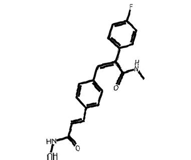 CNC(=O)C(=Cc1ccc(/C=C/C(=O)NO)cc1)c1ccc(F)cc1